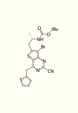 C[C@@H](Cc1sc2c([CH]c3cccs3)nc(C#N)nc2c1Br)NC(=O)OC(C)(C)C